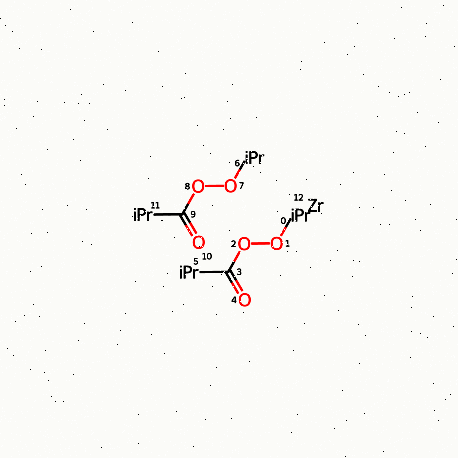 CC(C)OOC(=O)C(C)C.CC(C)OOC(=O)C(C)C.[Zr]